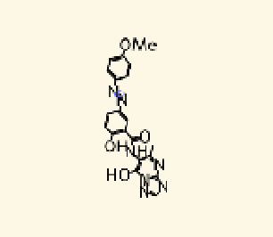 COc1ccc(/N=N/c2ccc(O)c(C(=O)Nc3c(C)nc4ncnn4c3O)c2)cc1